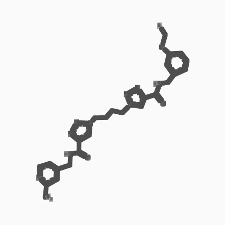 O=C(NCc1cccc(OCF)c1)c1cn(CCCCn2cc(C(=O)NCc3ccnc(C(F)(F)F)c3)nn2)nn1